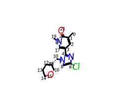 Cc1cc(-c2nc(Cl)cn2C[C@H]2CCCOC2)cn(C)c1=O